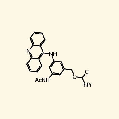 CCCC(Cl)OCc1cc(NC(C)=O)cc(Nc2c3ccccc3nc3ccccc23)c1